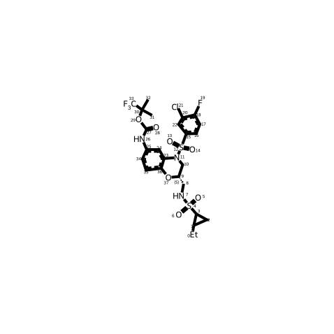 CCC1CC1S(=O)(=O)NC[C@H]1CN(S(=O)(=O)c2ccc(F)c(Cl)c2)c2cc(NC(=O)OC(C)(C)C(F)(F)F)ccc2O1